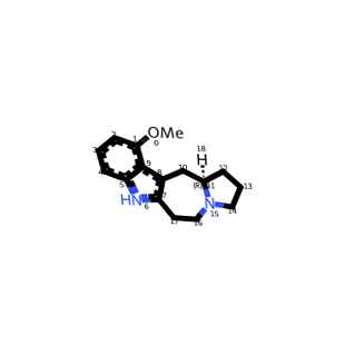 COc1cccc2[nH]c3c(c12)C[C@H]1CCCN1CC3